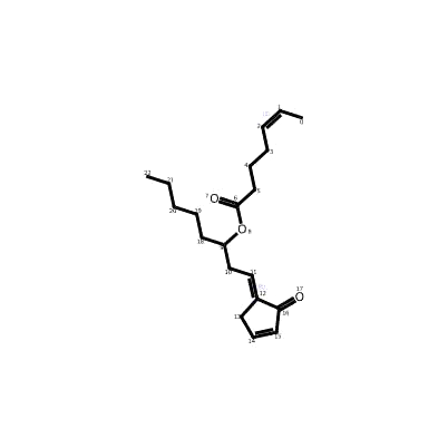 C/C=C\CCCC(=O)OC(C/C=C1\CC=CC1=O)CCCCC